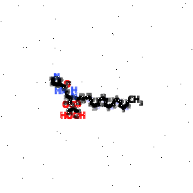 CC/C=C\C/C=C\C/C=C\C/C=C\C/C=C\C/C=C\CCC(=O)NC(CCNC(=O)c1cccnc1)C(=O)OC(CO)CO